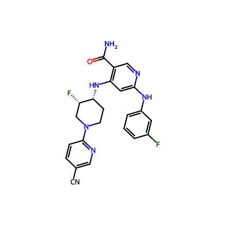 N#Cc1ccc(N2CC[C@@H](Nc3cc(Nc4cccc(F)c4)ncc3C(N)=O)[C@@H](F)C2)nc1